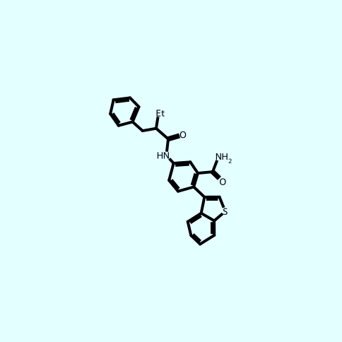 CCC(Cc1ccccc1)C(=O)Nc1ccc(-c2csc3ccccc23)c(C(N)=O)c1